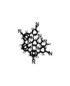 Cc1ccc(-c2c(C#N)c(-n3c4ccccc4c4cc(C#N)ccc43)c(-n3c4ccccc4c4cc(C#N)ccc43)c(-n3c4ccccc4c4cc(C#N)ccc43)c2-n2c3ccccc3c3cc(C#N)ccc32)c(C)n1